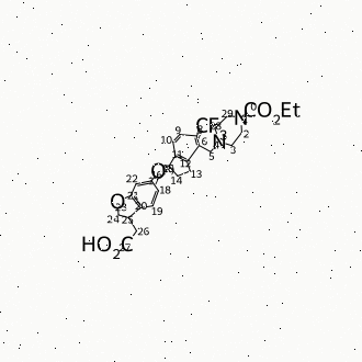 CCOC(=O)N1CCN(Cc2c(C(F)(F)F)ccc3c2CC[C@H]3Oc2ccc3c(c2)OCC3CC(=O)O)CC1